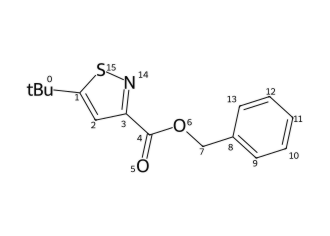 CC(C)(C)c1cc(C(=O)OCc2ccccc2)ns1